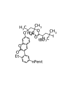 CCCCCc1ccc(CC)c(-c2cc3ccc(OC(C)(C)CC(C)(C)OC(=O)C(CC(C)(C)I)C(C)(C)C)cc3oc2=O)c1